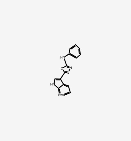 c1ccc(Nc2nnc(-c3c[nH]c4ncccc34)o2)cc1